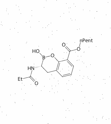 CCCCCOC(=O)c1cccc2c1OB(O)[C@@H](NC(=O)CC)C2